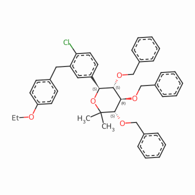 CCOc1ccc(Cc2cc([C@@H]3OC(C)(C)[C@@H](OCc4ccccc4)[C@H](OCc4ccccc4)[C@H]3OCc3ccccc3)ccc2Cl)cc1